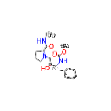 CC(C)(C)NC(=O)[C@@H]1CCCN1C[C@H](O)[C@@H](Cc1ccccc1)NC(=O)OC(C)(C)C